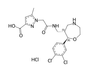 Cc1cc(C(=O)O)nn1CC(=O)NC[C@@H]1CNCCO[C@H]1c1ccc(Cl)c(Cl)c1.Cl